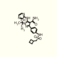 CC(C)(C)n1nc(-c2ccc(NS(=O)(=O)CC3CCC3)cc2)c(C(N)=O)c1Nc1cnccn1